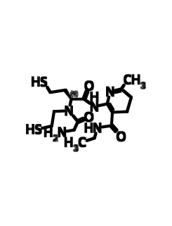 CCNC(=O)C1=C(NC(=O)[C@H](CCS)N(CCS)C(=O)CN)N=C(C)CC1